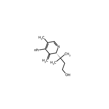 C=C1C(CCC)=C(C)C=N[C@@H]1C(C)(C)CCO